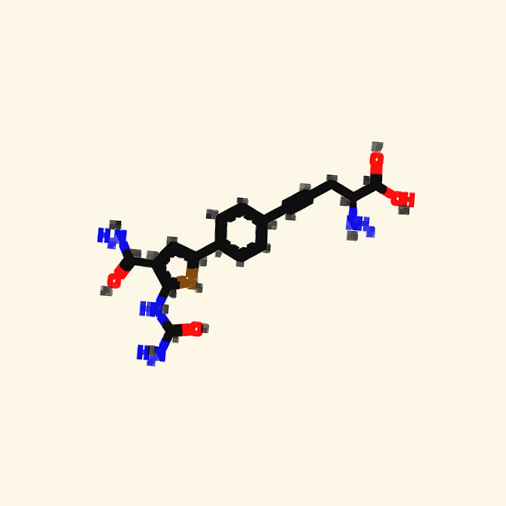 NC(=O)Nc1sc(-c2ccc(C#CC[C@H](N)C(=O)O)cc2)cc1C(N)=O